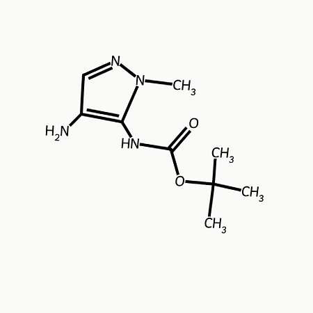 Cn1ncc(N)c1NC(=O)OC(C)(C)C